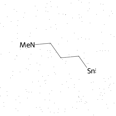 CNCC[CH2][Sn]